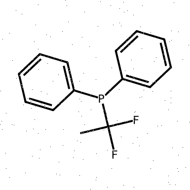 CC(F)(F)P(c1ccccc1)c1ccccc1